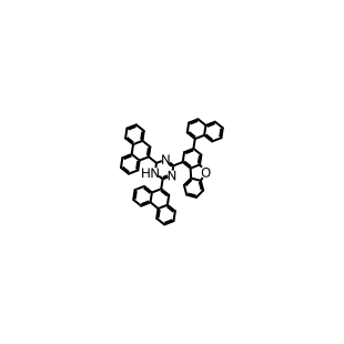 c1ccc2c(-c3cc(C4=NC(c5cc6ccccc6c6ccccc56)NC(c5cc6ccccc6c6ccccc56)=N4)c4c(c3)oc3ccccc34)cccc2c1